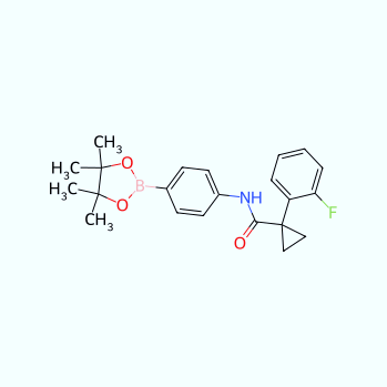 CC1(C)OB(c2ccc(NC(=O)C3(c4ccccc4F)CC3)cc2)OC1(C)C